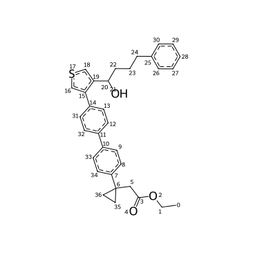 CCOC(=O)CC1(c2ccc(-c3ccc(-c4cscc4C(O)CCCc4ccccc4)cc3)cc2)CC1